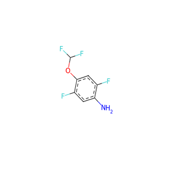 Nc1cc(F)c(OC(F)F)cc1F